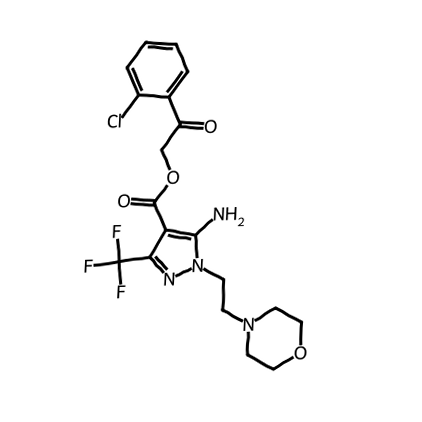 Nc1c(C(=O)OCC(=O)c2ccccc2Cl)c(C(F)(F)F)nn1CCN1CCOCC1